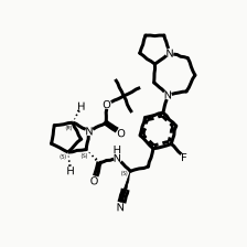 CC(C)(C)OC(=O)N1[C@@H]2CC[C@@H](C2)[C@H]1C(=O)N[C@H](C#N)Cc1ccc(N2CCCN3CCCC3C2)cc1F